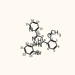 COc1ccccc1C1CC(c2ccccn2)=NN(c2ccccc2Br)N1